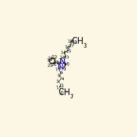 CCCCCCCCN1C=CN(CCCCCCCC)C1c1ccccc1